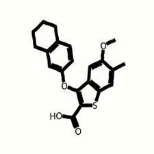 COc1cc2c(Oc3ccc4c(c3)CCCC4)c(C(=O)O)sc2cc1C